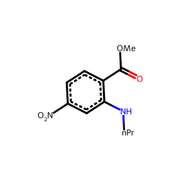 CCCNc1cc([N+](=O)[O-])ccc1C(=O)OC